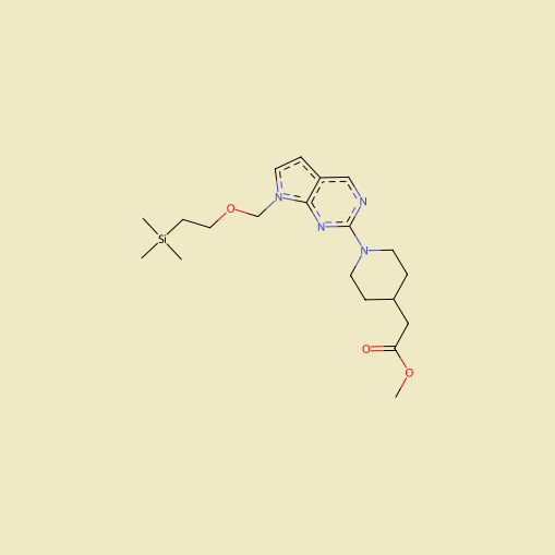 COC(=O)CC1CCN(c2ncc3ccn(COCC[Si](C)(C)C)c3n2)CC1